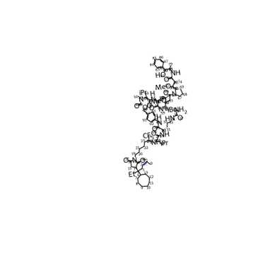 C/C=C\CC(CC)(C1CCCCCCC1)C1CC(=O)N(CCCCC[C@H](N[C@H](C(=O)N[C@@H](CCCNC(N)=O)C(=O)Nc2ccc(COC(=O)N(C)[C@H](C(=O)N[C@H](C(=O)N(C)[C@@H]([C@@H](C)CC)[C@@H](CC(=O)N3CCC[C@H]3[C@H](OC)[C@@H](C)C(=O)N[C@H](C)[C@@H](O)c3ccccc3)OC)C(C)C)C(C)C)cc2)C(C)C)C(F)(F)F)C1=O